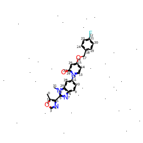 Cc1ocnc1-c1nc2ccc(-n3ccc(OCc4ccc(F)cc4)cc3=O)cc2n1C